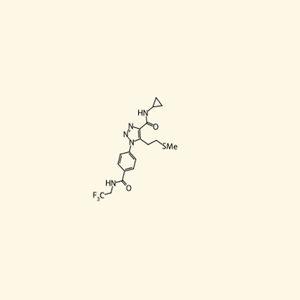 CSCCc1c(C(=O)NC2CC2)nnn1-c1ccc(C(=O)NCC(F)(F)F)cc1